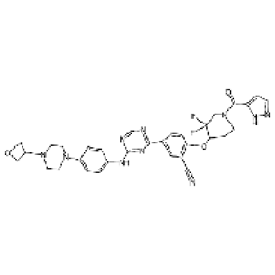 N#Cc1cc(-c2ncnc(Nc3ccc(N4CCN(C5COC5)CC4)cc3)n2)ccc1OC1CCN(C(=O)c2ccn[nH]2)CC1(F)F